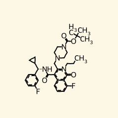 CCCn1c(CN2CCN(C(=O)OC(C)(C)C)CC2)c(C(=O)N[C@H](c2cccc(F)c2)C2CC2)c2cccc(F)c2c1=O